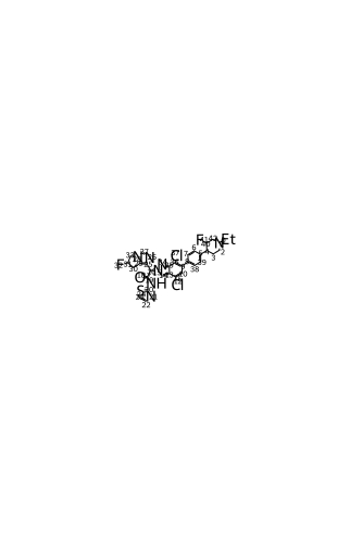 CCN1CCC(c2ccc(-c3cc(Cl)c4cn(C(C(=O)Nc5nccs5)c5ncn6c5C[C@@H](F)C6)nc4c3Cl)cc2)C(F)C1